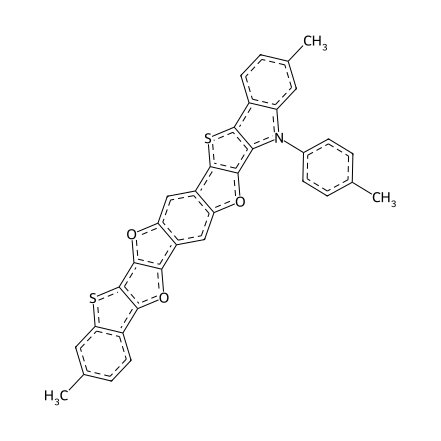 Cc1ccc(-n2c3cc(C)ccc3c3sc4c5cc6oc7c(oc8c9ccc(C)cc9sc87)c6cc5oc4c32)cc1